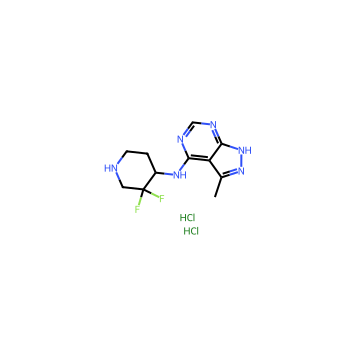 Cc1n[nH]c2ncnc(NC3CCNCC3(F)F)c12.Cl.Cl